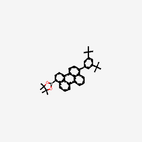 CC(C)(C)c1cc(-c2ccc3c4ccc(B5OC(C)(C)C(C)(C)O5)c5cccc(c6cccc2c63)c54)cc(C(C)(C)C)c1